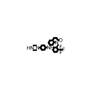 O=c1ccc2ccc(Nc3ccc(N4CCNCC4)cc3)cc2n1Cc1ccccc1C(F)(F)F